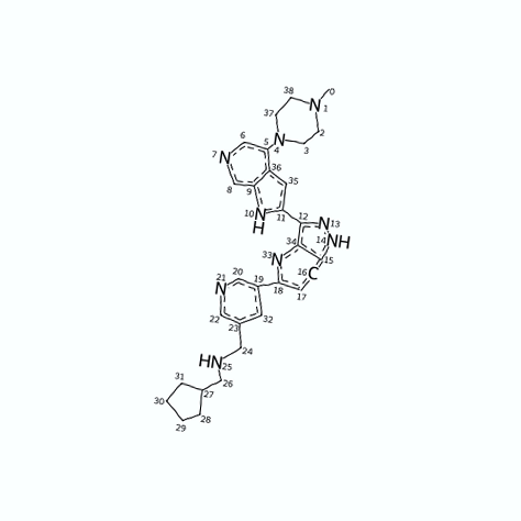 CN1CCN(c2cncc3[nH]c(-c4n[nH]c5ccc(-c6cncc(CNCC7CCCC7)c6)nc45)cc23)CC1